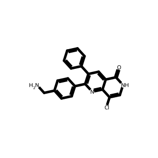 NCc1ccc(-c2nc3c(Cl)c[nH]c(=O)c3cc2-c2ccccc2)cc1